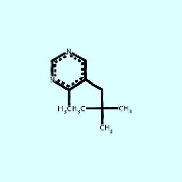 Cc1ncncc1CC(C)(C)C